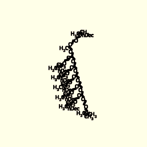 CCCCCCCCCC[N+](C)(C)CCOCCOC(C)COCC(COCC(COCC(COCC(COCC(COCCOCC[N+](C)(C)C)OCCOCC[N+](C)(C)CCCCCCCCCC)OCCOCC[N+](C)(C)CCCCCCCCCC)OCCOCC[N+](C)(C)CCCCCCCCCC)OCCOCC[N+](C)(C)CCCCCCCCCC)OCCOCC[N+](C)(C)CCCCCCCCCC